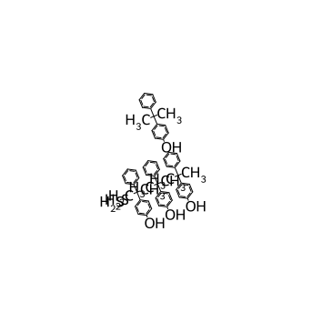 CC(C)(c1ccccc1)c1ccc(O)cc1.CC(C)(c1ccccc1)c1ccc(O)cc1.CC(C)(c1ccccc1)c1ccc(O)cc1.CC(C)(c1ccccc1)c1ccc(O)cc1.S.S